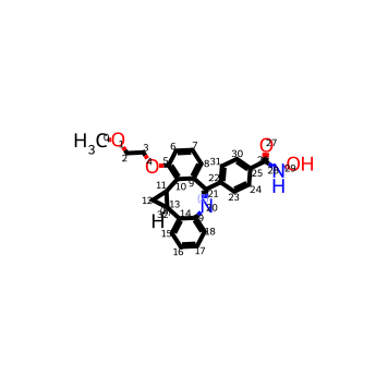 COCCOc1cccc2c1C1C[C@@H]1c1ccccc1/N=C\2c1ccc(C(=O)NO)cc1